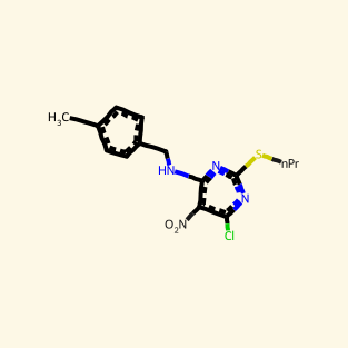 CCCSc1nc(Cl)c([N+](=O)[O-])c(NCc2ccc(C)cc2)n1